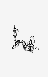 CC1CC2CC(C)C(NC(=O)c3cnc(N4CC5(CCOCC5)c5cc(OC6CCN(c7ncc(F)cn7)CC6)ccc54)nc3C(C)(F)F)(C(=O)O)C(C1)C2